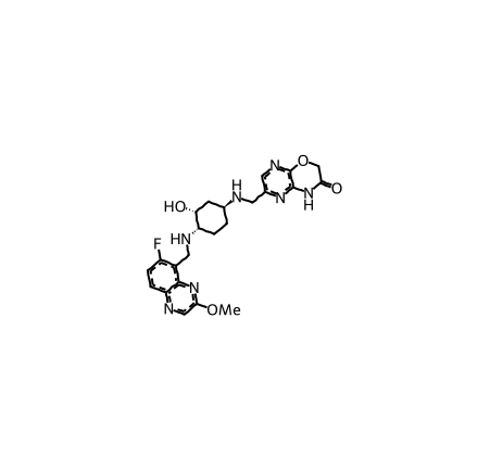 COc1cnc2ccc(F)c(CN[C@H]3CC[C@H](NCc4cnc5c(n4)NC(=O)CO5)C[C@H]3O)c2n1